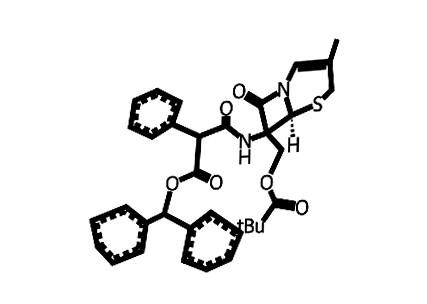 CC1=CN2C(=O)C(COC(=O)C(C)(C)C)(NC(=O)C(C(=O)OC(c3ccccc3)c3ccccc3)c3ccccc3)[C@@H]2SC1